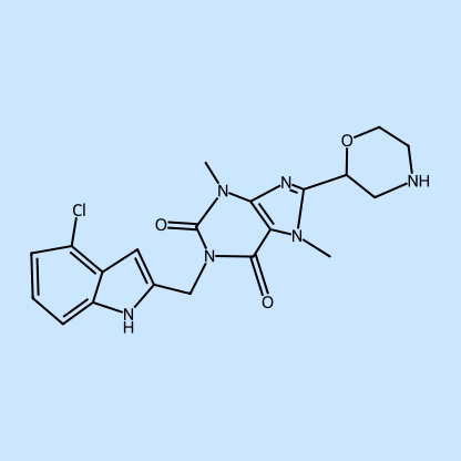 Cn1c(C2CNCCO2)nc2c1c(=O)n(Cc1cc3c(Cl)cccc3[nH]1)c(=O)n2C